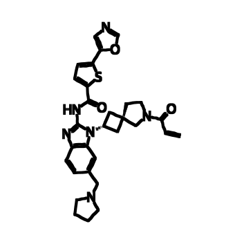 C=CC(=O)N1CC[C@]2(C1)C[C@@H](n1c(NC(=O)c3ccc(-c4cnco4)s3)nc3ccc(CN4CCCC4)cc31)C2